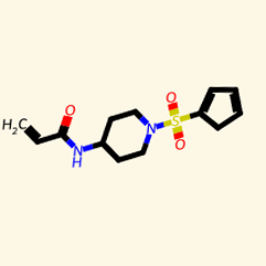 C=CC(=O)NC1CCN(S(=O)(=O)C2=CC=CC2)CC1